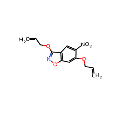 C=CCOc1cc2onc(OCC=C)c2cc1[N+](=O)[O-]